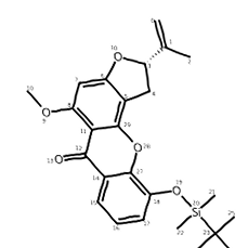 C=C(C)[C@@H]1Cc2c(cc(OC)c3c(=O)c4cccc(O[Si](C)(C)C(C)(C)C)c4oc23)O1